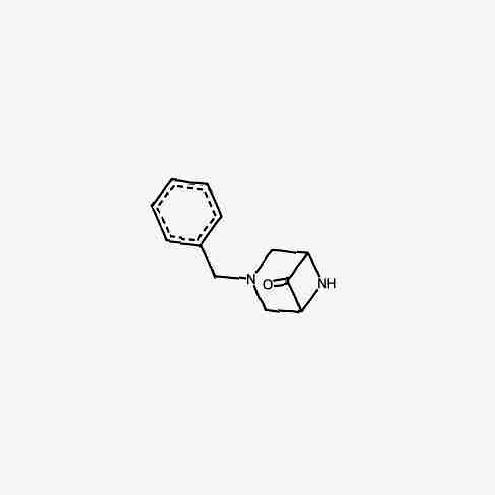 O=C1C2CN(Cc3ccccc3)CC1N2